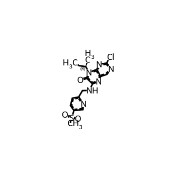 CC[C@@H](C)n1c(=O)c(NCc2ccc(S(C)(=O)=O)cn2)nc2cnc(Cl)nc21